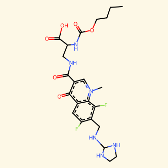 CCCCOC(=O)NC(CNC(=O)c1cn(C)c2c(F)c(CNC3NCCN3)c(F)cc2c1=O)C(=O)O